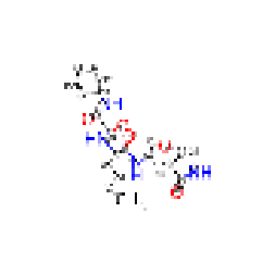 CCCCC(NC(=O)C(=O)Nc1ccccc1)C(=O)N[C@H](C=O)C[C@@H]1CCNC1=O